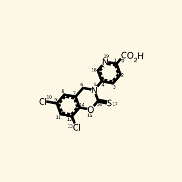 O=C(O)c1ccc(N2Cc3cc(Cl)cc(Cl)c3OC2=S)cn1